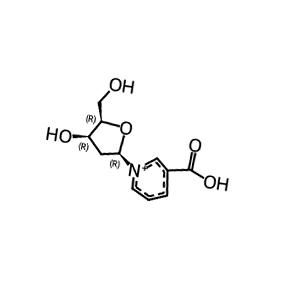 O=C(O)c1ccc[n+]([C@H]2C[C@@H](O)[C@@H](CO)O2)c1